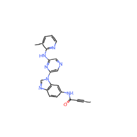 CC#CC(=O)Nc1ccc2ncn(-c3cncc(Nc4ncccc4C)n3)c2c1